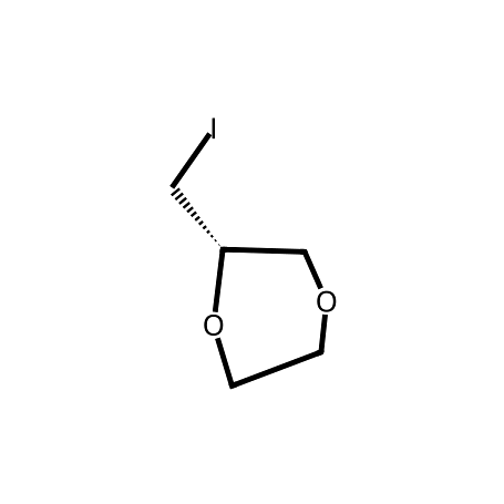 IC[C@@H]1COCCO1